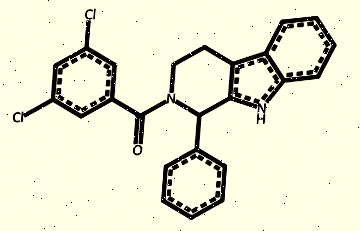 O=C(c1cc(Cl)cc(Cl)c1)N1CCc2c([nH]c3ccccc23)C1c1ccccc1